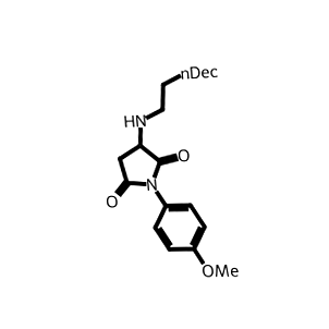 CCCCCCCCCCCCNC1CC(=O)N(c2ccc(OC)cc2)C1=O